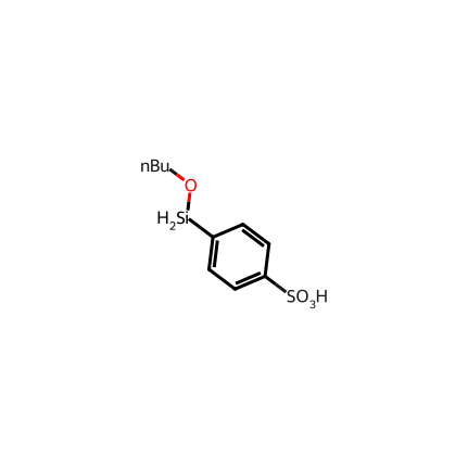 CCCCO[SiH2]c1ccc(S(=O)(=O)O)cc1